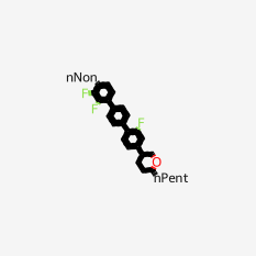 CCCCCCCCCc1ccc(-c2ccc(-c3ccc(C4CCC(CCCCC)OC4)cc3F)cc2)c(F)c1F